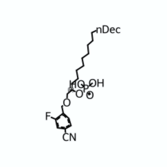 CCCCCCCCCCCCCCCCCCC[C@H](COCc1ccc(C#N)cc1F)OP(=O)(O)O